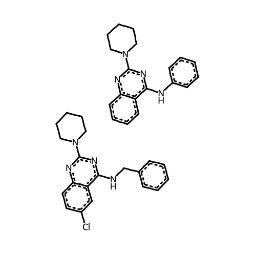 Clc1ccc2nc(N3CCCCC3)nc(NCc3ccccc3)c2c1.c1ccc(Nc2nc(N3CCCCC3)nc3ccccc23)cc1